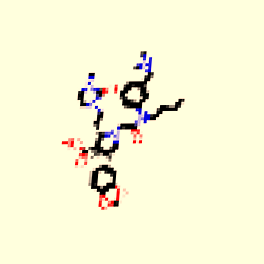 CCCCN(C(=O)CN1C[C@H](c2ccc3c(c2)OCO3)[C@@H](C(=O)O)[C@@H]1CCN1CCN(C)C1=O)c1cccc(C[N+](C)(C)C)c1